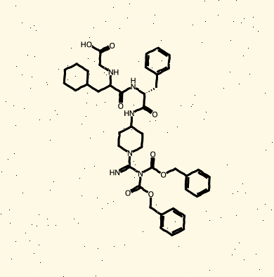 N=C(N1CCC(NC(=O)[C@@H](Cc2ccccc2)NC(=O)C(CC2CCCCC2)NCC(=O)O)CC1)N(C(=O)OCc1ccccc1)C(=O)OCc1ccccc1